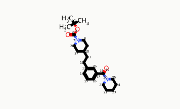 CC(C)(C)OC(=O)N1CCC(CCc2cccc(C(=O)N3CCCCC3)c2)CC1